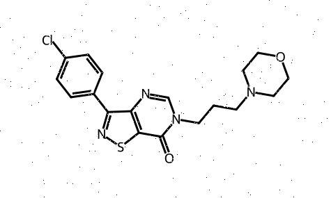 O=c1c2snc(-c3ccc(Cl)cc3)c2ncn1CCCN1CCOCC1